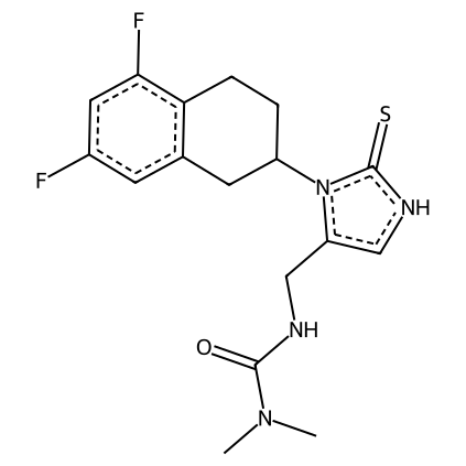 CN(C)C(=O)NCc1c[nH]c(=S)n1C1CCc2c(F)cc(F)cc2C1